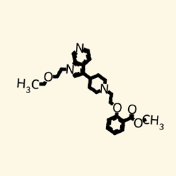 CCOCCn1cc(C2CCN(CCOc3ccccc3C(=O)OC)CC2)c2ccncc21